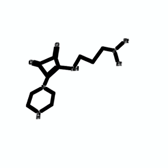 CCN(CC)CCCNc1c(N2CCNCC2)c(=O)c1=O